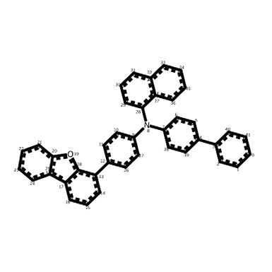 c1ccc(-c2ccc(N(c3ccc(-c4cccc5c4oc4ccccc45)cc3)c3cccc4ccccc34)cc2)cc1